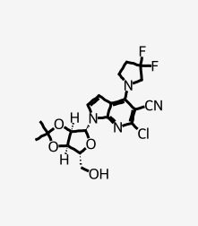 CC1(C)O[C@@H]2[C@H](O1)[C@@H](CO)O[C@H]2n1ccc2c(N3CCC(F)(F)C3)c(C#N)c(Cl)nc21